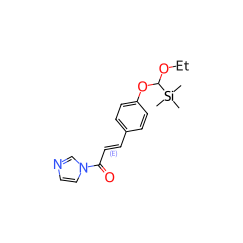 CCOC(Oc1ccc(/C=C/C(=O)n2ccnc2)cc1)[Si](C)(C)C